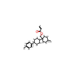 C=CC(=O)OCC1(C2CCC(c3ccc(C)cc3)CC2)CCC(C)CC1